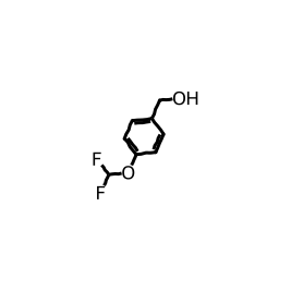 OCc1ccc(OC(F)F)cc1